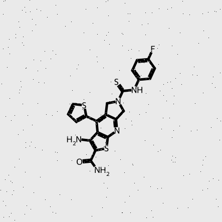 NC(=O)c1sc2nc3c(c(-c4cccs4)c2c1N)CN(C(=S)Nc1ccc(F)cc1)C3